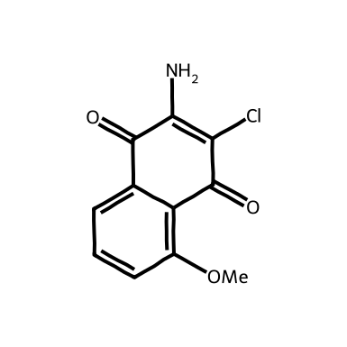 COc1cccc2c1C(=O)C(Cl)=C(N)C2=O